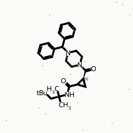 CC(C)(C)CC(C)(C)NC(=O)C1C[C@@H]1C(=O)N1CCN(C(c2ccccc2)c2ccccc2)CC1